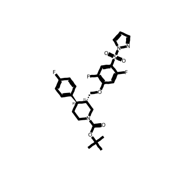 CC(C)(C)OC(=O)N1CC[C@@H](c2ccc(F)cc2)[C@H](COc2cc(F)c(S(=O)(=O)n3cccn3)cc2F)C1